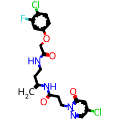 C=C(CCNC(=O)COc1ccc(Cl)c(F)c1)NC(=O)CCn1ncc(Cl)cc1=O